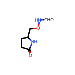 O=CNOCC1CCC(=O)N1